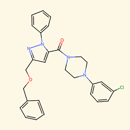 O=C(c1cc(COCc2ccccc2)nn1-c1ccccc1)N1CCN(c2cccc(Cl)c2)CC1